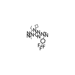 CC[C@@H]1c2nnc(C)n2-c2cnc(-n3ccnc3-c3ccc(C(F)(F)F)cc3)nc2N1C1CCC1